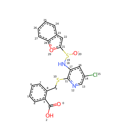 O=C(O)c1ccccc1CSc1ncc(Cl)cc1N[S+]([O-])c1cc2ccccc2o1